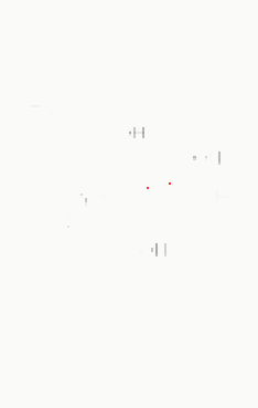 O=C(C(c1ccc(O)cc1)c1c(O)cc(O)cc1O)C(c1ccc(O)cc1)c1c(O)cc(O)cc1O